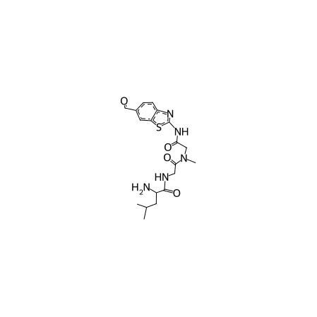 CC(C)CC(N)C(=O)NCC(=O)N(C)CC(=O)Nc1nc2ccc(C=O)cc2s1